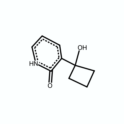 O=c1[nH]cccc1C1(O)CCC1